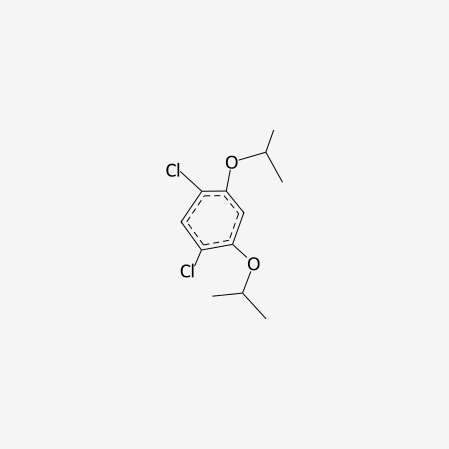 CC(C)Oc1cc(OC(C)C)c(Cl)cc1Cl